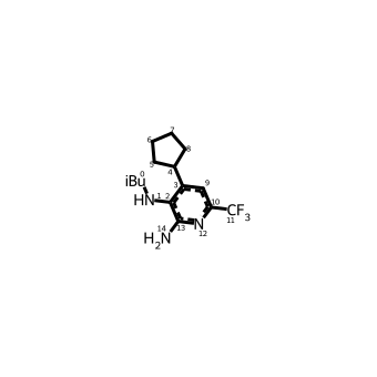 CCC(C)Nc1c(C2CCCC2)cc(C(F)(F)F)nc1N